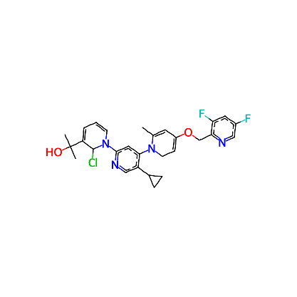 CC1=CC(OCc2ncc(F)cc2F)=CCN1c1cc(N2C=CC=C(C(C)(C)O)C2Cl)ncc1C1CC1